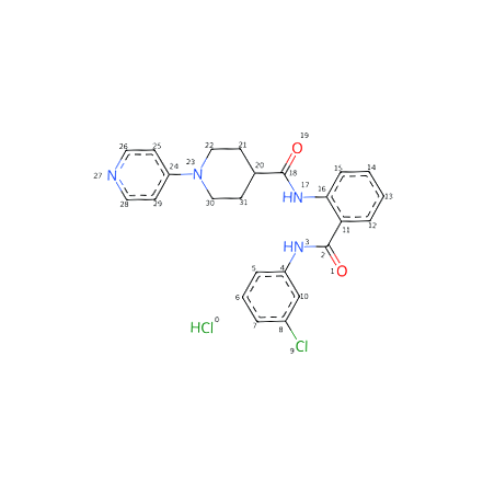 Cl.O=C(Nc1cccc(Cl)c1)c1ccccc1NC(=O)C1CCN(c2ccncc2)CC1